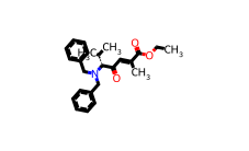 CCOC(=O)/C(C)=C/C(=O)[C@@H](C(C)C)N(Cc1ccccc1)Cc1ccccc1